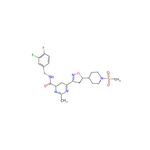 Cc1nc(C(=O)NCc2ccc(F)c(F)c2)cc(C2=NOC(C3CCN(S(C)(=O)=O)CC3)C2)n1